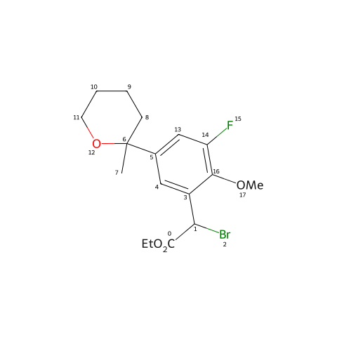 CCOC(=O)C(Br)c1cc(C2(C)CCCCO2)cc(F)c1OC